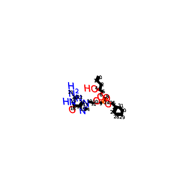 C=CCC(O)COP(=O)(COCCn1cnc2c(=O)[nH]c(N)nc21)OCc1ccccc1